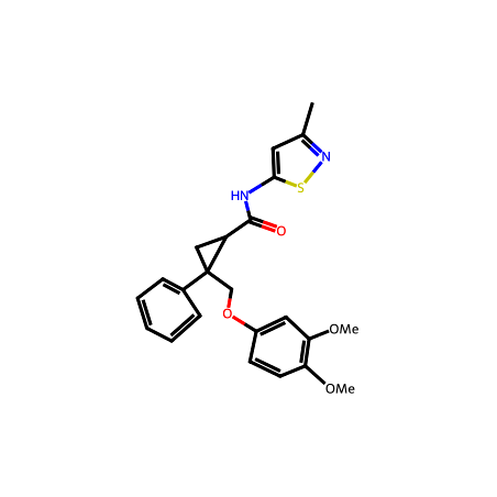 COc1ccc(OCC2(c3ccccc3)CC2C(=O)Nc2cc(C)ns2)cc1OC